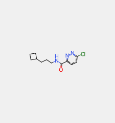 O=C(NCCCC1CCC1)c1ccc(Cl)nn1